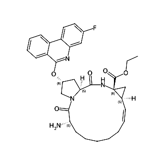 CCOC(=O)[C@@]12C[C@H]1C=CCCCCC[C@H](N)C(=O)N1C[C@H](Oc3nc4cc(F)ccc4c4ccccc34)C[C@H]1C(=O)N2